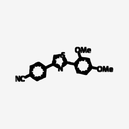 COc1ccc(-c2nc(-c3ccc(C#N)cc3)cs2)c(OC)c1